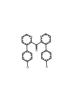 O=C(c1ncccc1-c1ccc(Cl)cc1)c1ncccc1-c1ccc(Cl)cc1